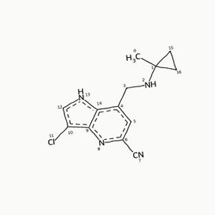 CC1(NCc2cc(C#N)nc3c(Cl)c[nH]c23)CC1